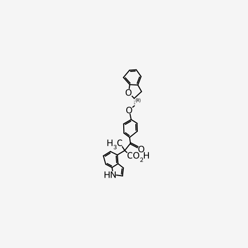 CC(C(=O)O)(C(=O)c1ccc(OC[C@H]2Cc3ccccc3O2)cc1)c1cccc2[nH]ccc12